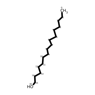 CCCCCCCCCCCCCCC[CH]O